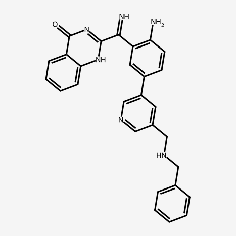 N=C(c1nc(=O)c2ccccc2[nH]1)c1cc(-c2cncc(CNCc3ccccc3)c2)ccc1N